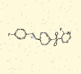 O=S(=O)(c1ccc(/C=C/c2ccc(F)cc2)cc1)c1cccnc1F